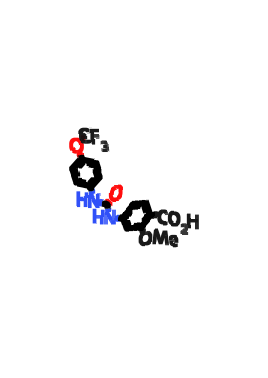 COc1cc(NC(=O)Nc2ccc(OC(F)(F)F)cc2)ccc1C(=O)O